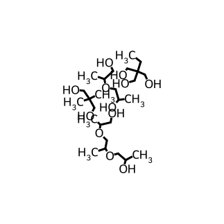 CC(C)(CO)CO.CC(O)COC(C)CO.CC(O)COC(C)COC(C)CO.CCC(CO)(CO)CO